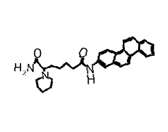 NC(=O)C(CCCCC(=O)Nc1ccc2c(ccc3c4ccccc4ccc23)c1)N1CCCCC1